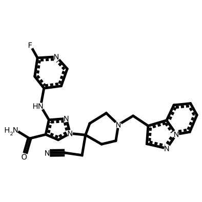 N#CCC1(n2cc(C(N)=O)c(Nc3ccnc(F)c3)n2)CCN(Cc2cnn3ccccc23)CC1